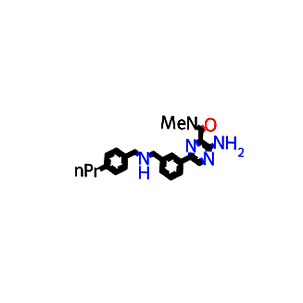 CCCc1ccc(CNCc2cccc(-c3cnc(N)c(C(=O)NC)n3)c2)cc1